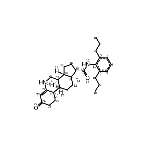 CCCc1cccc(CCC)c1NC(=O)[C@H]1CC[C@H]2[C@@H]3CNC4=CC(=O)CC[C@]4(C)[C@H]3CC[C@]12C